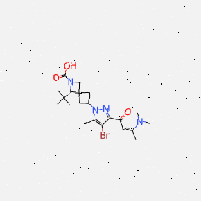 CC(=CC(=O)c1nn(C2CC3(C2)CN(C(=O)O)C3C(C)(C)C)c(C)c1Br)N(C)C